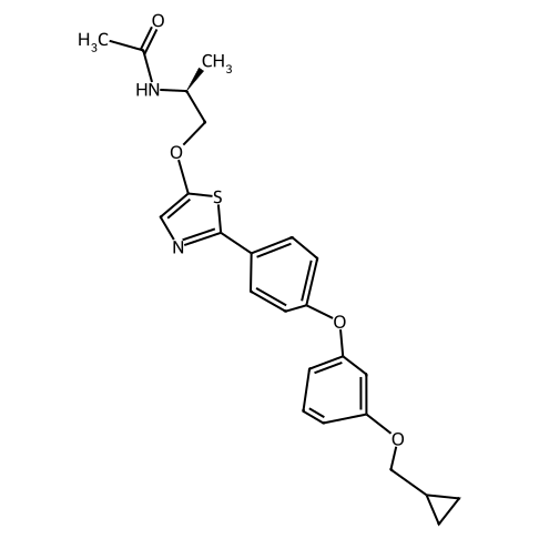 CC(=O)N[C@@H](C)COc1cnc(-c2ccc(Oc3cccc(OCC4CC4)c3)cc2)s1